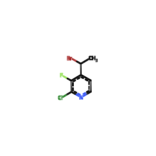 CC(Br)c1ccnc(Cl)c1F